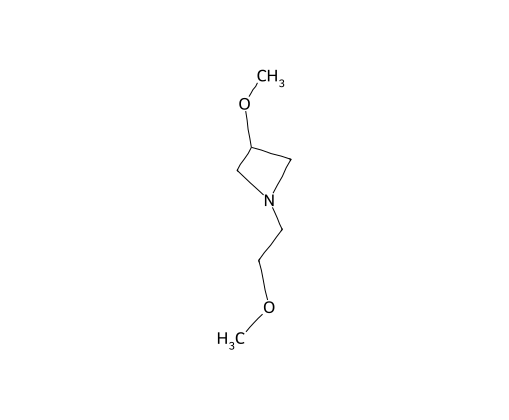 COCCN1CC(OC)C1